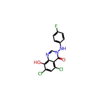 O=c1c2c(Cl)cc(Cl)c(O)c2ncn1Nc1ccc(F)cc1